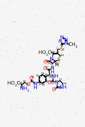 Cn1nnnc1SCC1=C(C(=O)O)N2C(=O)[C@@H](NC(=O)[C@H](NC(=O)N3CCNC3=O)c3ccc(NC(=O)OC[C@@H](N)C(=O)O)cc3)[C@@H]2SC1